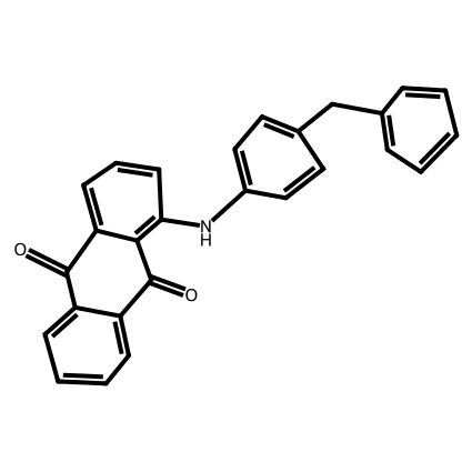 O=C1c2ccccc2C(=O)c2c(Nc3ccc(Cc4ccccc4)cc3)cccc21